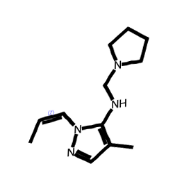 C/C=C\n1ncc(C)c1NCN1CCCC1